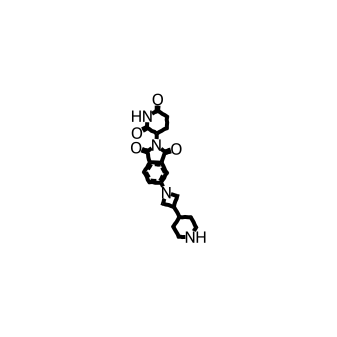 O=C1CCC(N2C(=O)c3ccc(N4CC(C5CCNCC5)C4)cc3C2=O)C(=O)N1